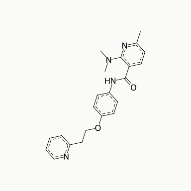 Cc1ccc(C(=O)Nc2ccc(OCCc3ccccn3)cc2)c(N(C)C)n1